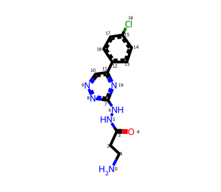 NCCC(=O)NNc1nncc(-c2ccc(Cl)cc2)n1